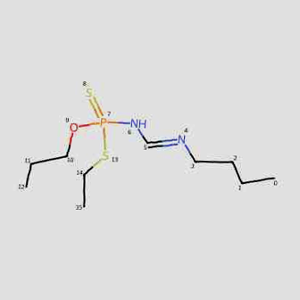 CCCCN=CNP(=S)(OCCC)SCC